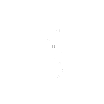 CC(CC(=O)N1CCC(O)(CN2C=CC(Cl)=NC2)CC1)c1ccccc1